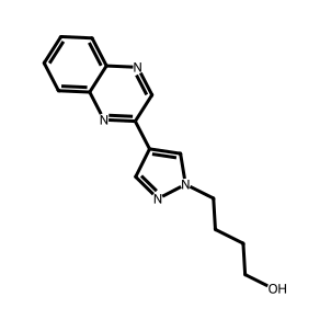 OCCCCn1cc(-c2cnc3ccccc3n2)cn1